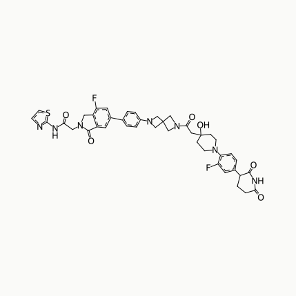 O=C1CCC(c2ccc(N3CCC(O)(CC(=O)N4CC5(C4)CN(c4ccc(-c6cc(F)c7c(c6)C(=O)N(CC(=O)Nc6nccs6)C7)cc4)C5)CC3)c(F)c2)C(=O)N1